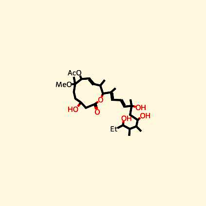 CCC(O)C(C)C(C)C(O)CC(C)(O)/C=C/C=C(\C)C1OC(=O)CC(O)CCC(C)(OC)C(OC(C)=O)/C=C/C1C